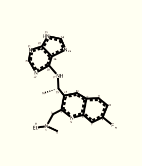 CCN(C)Cc1nc2cc(F)ccc2cc1[C@H](C)Nc1ncnc2[nH]cnc12